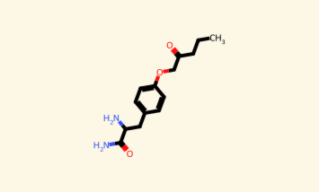 CCCC(=O)COc1ccc(CC(N)C(N)=O)cc1